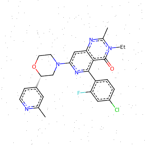 CCn1c(C)nc2cc(N3CCO[C@@H](c4ccnc(C)c4)C3)nc(-c3ccc(Cl)cc3F)c2c1=O